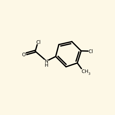 Cc1cc(NC(=O)Cl)ccc1Cl